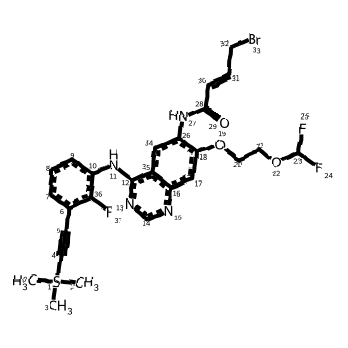 CS(C)(C)C#Cc1cccc(Nc2ncnc3cc(OCCOC(F)F)c(NC(=O)/C=C/CBr)cc23)c1F